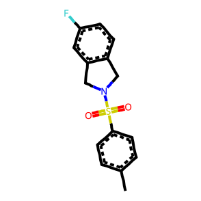 Cc1ccc(S(=O)(=O)N2Cc3ccc(F)cc3C2)cc1